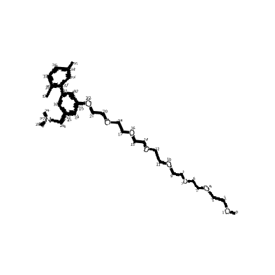 COCCOCCOCCOCCOCCOCCOCCOc1cc(CN(C)C)cc(-c2cc(C)ccc2C)c1